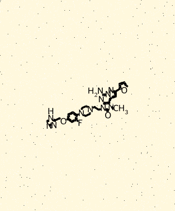 Cn1c(=O)n(CCN2CCN(c3ccc(OCc4nnc[nH]4)cc3F)CC2)c2nc(N)n3nc(-c4ccco4)cc3c21